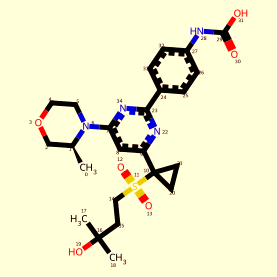 C[C@H]1COCCN1c1cc(C2(S(=O)(=O)CCC(C)(C)O)CC2)nc(-c2ccc(NC(=O)O)cc2)n1